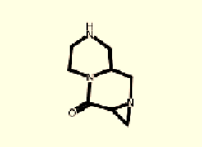 O=C1C2CN2CC2CNCCN12